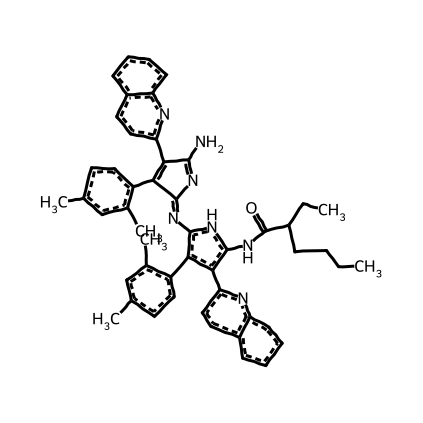 CCCCC(CC)C(=O)Nc1[nH]c(/N=C2\N=C(N)C(c3ccc4ccccc4n3)=C2c2ccc(C)cc2C)c(-c2ccc(C)cc2C)c1-c1ccc2ccccc2n1